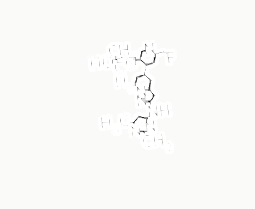 Cc1cc(Nc2cc3cc(-c4cc(CF)ncc4OCC(C)(C)O)ccn3n2)nc(C)n1